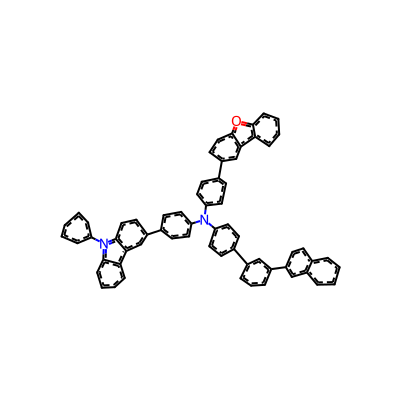 c1ccc(-n2c3ccccc3c3cc(-c4ccc(N(c5ccc(-c6cccc(-c7ccc8ccccc8c7)c6)cc5)c5ccc(-c6ccc7oc8ccccc8c7c6)cc5)cc4)ccc32)cc1